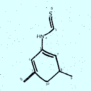 CC1=CC(NC=S)=CC(C)C1